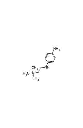 C[N+](C)(C)CCNc1ccc(N)cc1